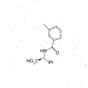 Cc1cccc(C(=O)N[C@H](C(=O)O)C(C)C)c1